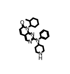 CC1CCCCC1n1c(=O)ccc2cnc(N(c3ccccc3)C3CCNCC3)nc21